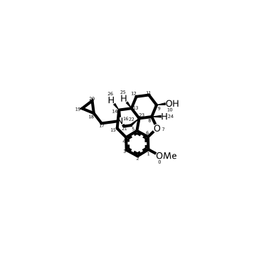 COc1ccc2c3c1O[C@H]1[C@H](O)CC[C@H]4[C@@H](C2)N(CC2CC2)CC[C@@]341